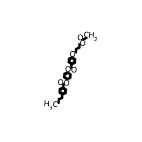 C=CC(=O)OCCCCOc1ccc(C(=O)OC2=CC=C(OC(=O)c3ccc(CCCC)cc3)CC2)cc1